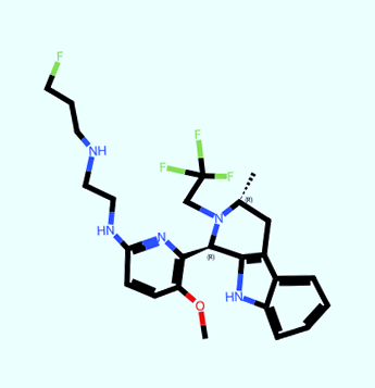 COc1ccc(NCCNCCCF)nc1[C@@H]1c2[nH]c3ccccc3c2C[C@@H](C)N1CC(F)(F)F